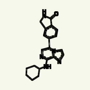 O=C1NCc2cc(-c3cnc(NC4CCCCC4)c4nccn34)ccc21